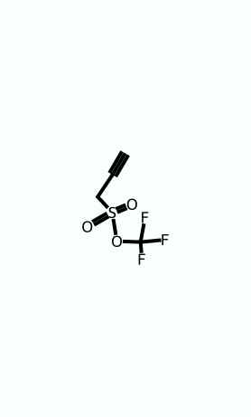 C#CCS(=O)(=O)OC(F)(F)F